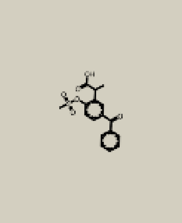 CC(C(=O)O)c1cc(C(=O)c2ccccc2)ccc1OS(C)(=O)=O